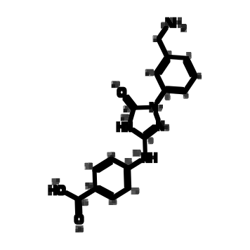 NCc1cccc(-n2nc(Nc3ccc(C(=O)O)cc3)[nH]c2=O)c1